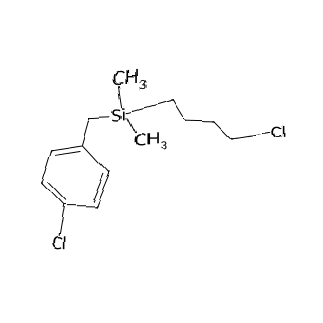 C[Si](C)(CCCCCl)Cc1ccc(Cl)cc1